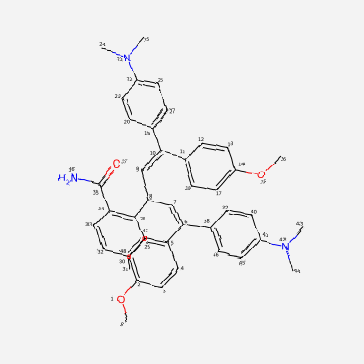 COc1ccc(C(=CC(C=C(c2ccc(OC)cc2)c2ccc(N(C)C)cc2)c2cc(C)ccc2C(N)=O)c2ccc(N(C)C)cc2)cc1